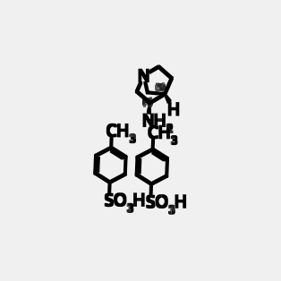 CC1=CCC(S(=O)(=O)O)C=C1.CC1=CCC(S(=O)(=O)O)C=C1.N[C@H]1CN2CC[C@H]1C2